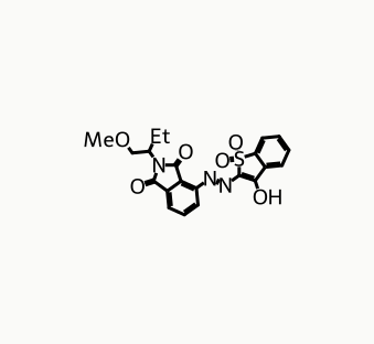 CCC(COC)N1C(=O)c2cccc(N=NC3=C(O)c4ccccc4S3(=O)=O)c2C1=O